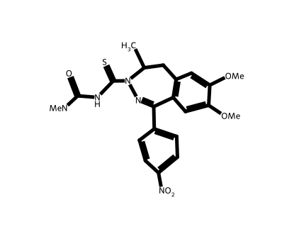 CNC(=O)NC(=S)N1N=C(c2ccc([N+](=O)[O-])cc2)c2cc(OC)c(OC)cc2CC1C